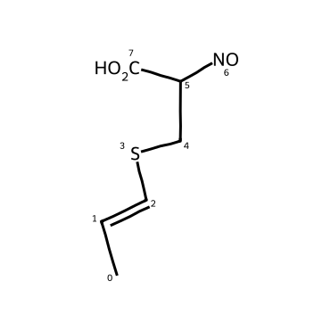 CC=CSCC(N=O)C(=O)O